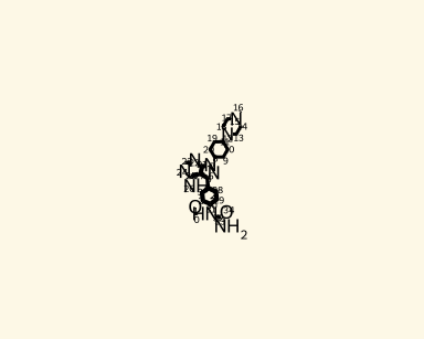 COc1cc(-c2nn([C@H]3CC[C@H](N4CCN(C)CC4)CC3)c3ncnc(N)c23)ccc1NC(N)=O